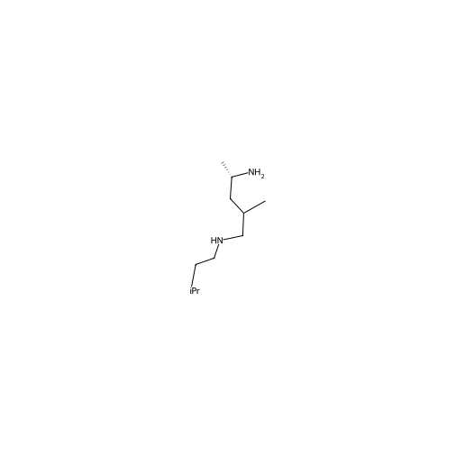 CC(C)CCNCC(C)C[C@H](C)N